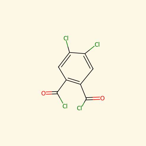 O=C(Cl)c1cc(Cl)c(Cl)cc1C(=O)Cl